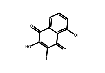 O=C1C(O)=C(I)C(=O)c2c(O)cccc21